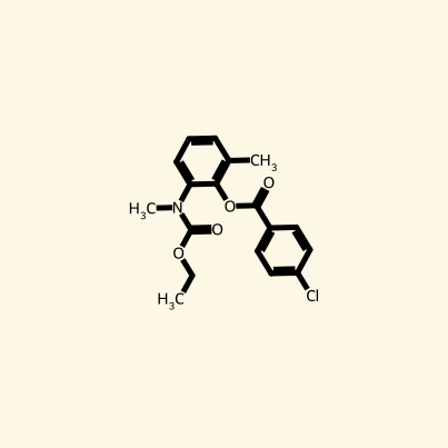 CCOC(=O)N(C)c1cccc(C)c1OC(=O)c1ccc(Cl)cc1